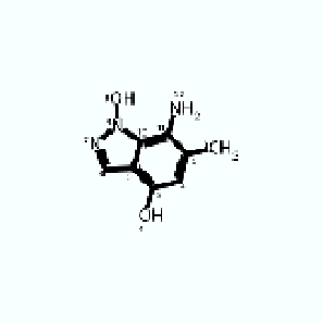 Cc1cc(O)c2cnn(O)c2c1N